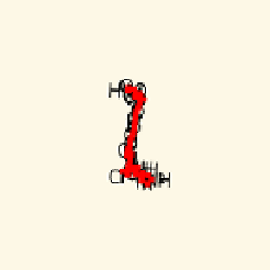 NC1(C(=O)NC(CCN2CCN(C(=O)CCOCCOCCOCCOCCOCCCc3cccc4c3C(=O)N(C3CCC(=O)NC3=O)C4=O)CC2)c2ccc(Cl)cc2)CCN(c2ncnc3[nH]ccc23)CC1